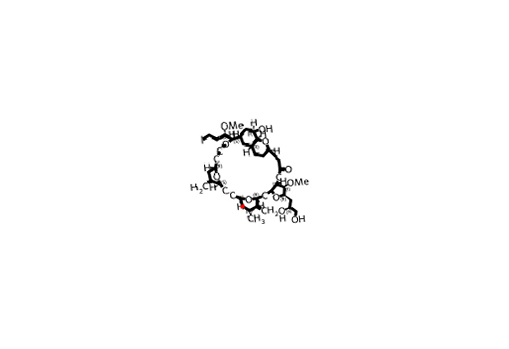 C=C1C[C@@H]2CCO[C@H]([C@H](CCI)OC)[C@@H]3C[C@H]4CC[C@H](CC(=O)C[C@H]5C(C[C@H]6O[C@@H](CC[C@@H]1O2)C[C@@H](C)C6=C)O[C@H](C[C@H](O)CO)[C@@H]5OC)O[C@@H]4[C@H](O)C3